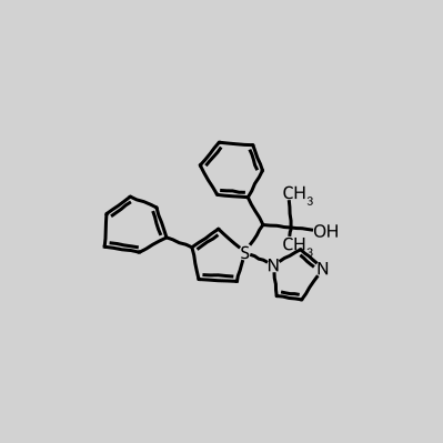 CC(C)(O)C(c1ccccc1)S1(n2ccnc2)C=CC(c2ccccc2)=C1